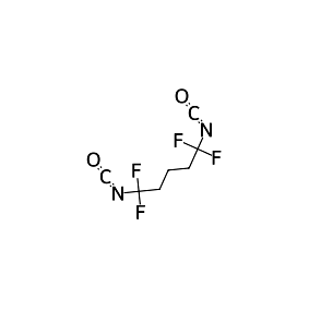 O=C=NC(F)(F)CCCC(F)(F)N=C=O